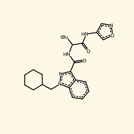 CC(C)(C)C(NC(=O)c1nn(CC2CCCCC2)c2ccccc12)C(=O)Nc1cnoc1